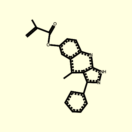 C=C(C)C(=O)Oc1ccc2nc3[nH]nc(-c4ccccc4)c3c(C)c2c1